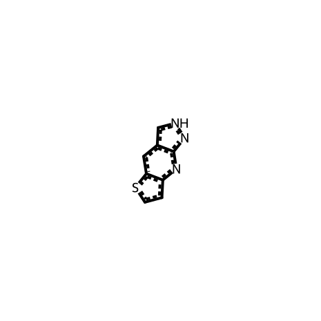 c1cc2nc3n[nH]cc3cc2s1